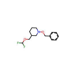 FC(F)OCC1CCCN(OCc2ccccc2)C1